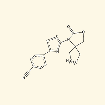 CCC1(CC)COC(=O)N1c1nc(-c2ccc(C#N)cc2)cs1